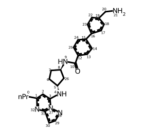 CCCc1cc(N[C@@H]2CC[C@@H](NC(=O)c3ccc(-c4ccc(CN)cc4)cc3)C2)n2nccc2n1